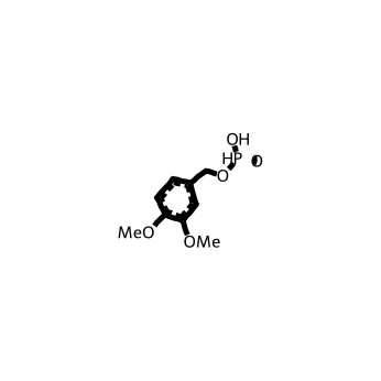 COc1ccc(CO[PH](=O)O)cc1OC